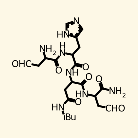 CCC(C)NC(=O)CC(NC(=O)C(Cc1cnc[nH]1)NC(=O)C(N)CC=O)C(=O)NC(CC=O)C(N)=O